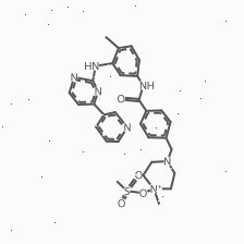 Cc1ccc(NC(=O)c2ccc(CN3CC[N+](C)(OS(C)(=O)=O)CC3)cc2)cc1Nc1nccc(-c2cccnc2)n1